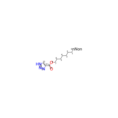 CCCCCCCCCCCCCCCCOC(=O)c1c[nH]nn1